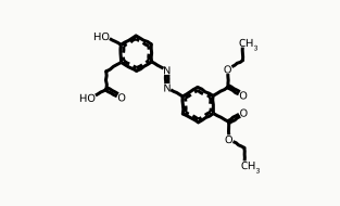 CCOC(=O)c1ccc(N=Nc2ccc(O)c(CC(=O)O)c2)cc1C(=O)OCC